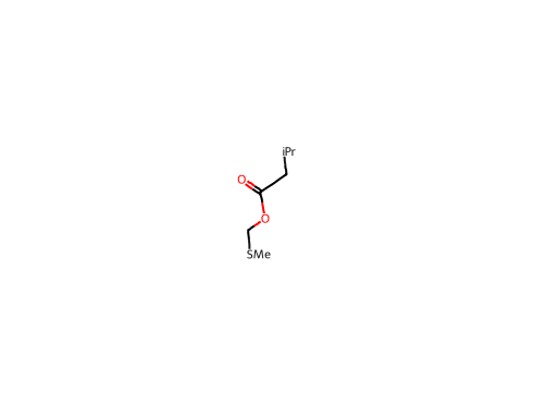 CSCOC(=O)CC(C)C